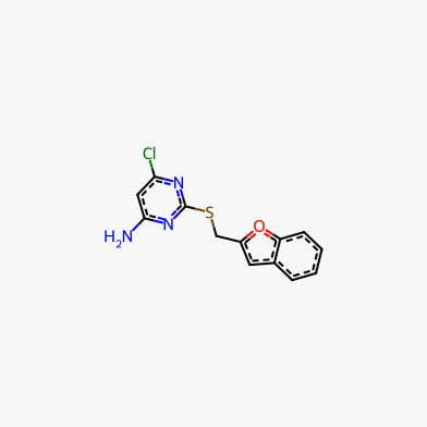 Nc1cc(Cl)nc(SCc2cc3ccccc3o2)n1